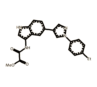 CCc1ccc(-n2cc(-c3ccc4[nH]cc(NC(=O)C(=O)OC)c4c3)cn2)cc1